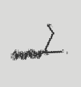 CCCCCCCC/C=C\CCCCCCCCCCCCCCCC(=O)N[C@@H](CO[C@@H]1OC(CO)[C@@H](O[C@@H]2OC(CO)[C@H](O[C@@H]3OC(CO)[C@H](O)[C@H](O[C@@H]4OC(CO)[C@H](O)[C@H](O[C@H]5OC(CO)[C@H](O)[C@H](O[C@@H]6OC(CO)[C@H](O)[C@H](O)C6NC(C)=O)C5O)C4O)C3NC(C)=O)[C@H](O)C2O)[C@H](O)C1O)[C@H](O)/C=C/CCCCCCCCCCCCC